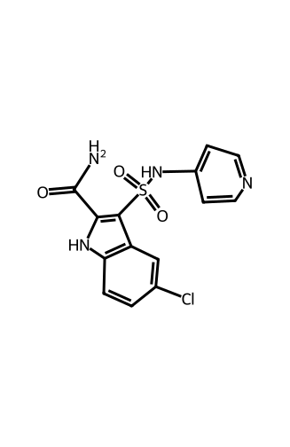 NC(=O)c1[nH]c2ccc(Cl)cc2c1S(=O)(=O)Nc1ccncc1